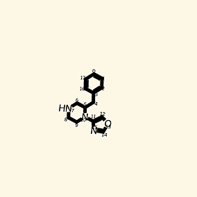 c1ccc(CC2CNCCN2c2cocn2)cc1